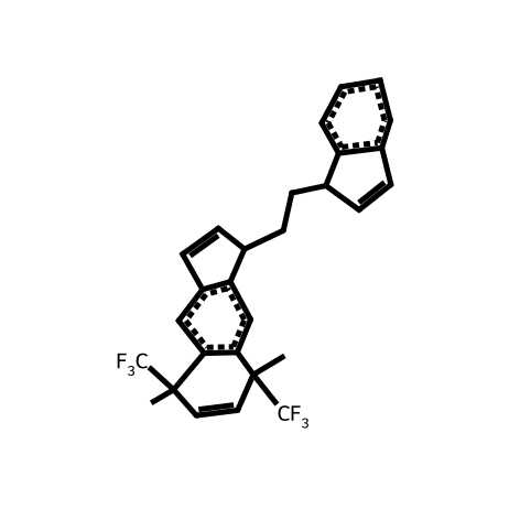 CC1(C(F)(F)F)C=CC(C)(C(F)(F)F)c2cc3c(cc21)C=CC3CCC1C=Cc2ccccc21